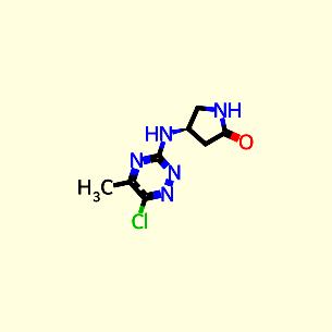 Cc1nc(N[C@H]2CNC(=O)C2)nnc1Cl